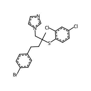 CC(CCc1ccc(Br)cc1)(Cn1ccnc1)Sc1ccc(Cl)cc1Cl